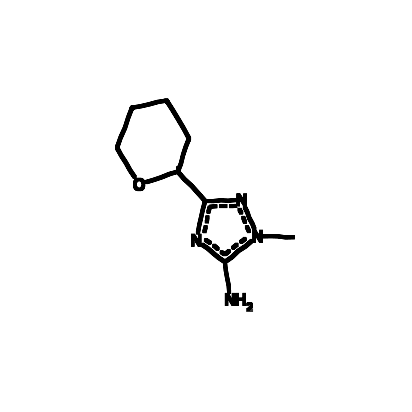 Cn1nc([C]2CCCCO2)nc1N